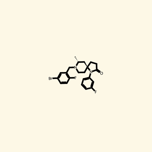 C[C@@H]1C[C@]2(CCC(=O)N2c2cccc(F)c2)CCN1Cc1cc(Br)ccc1F